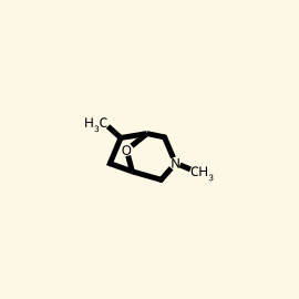 CC1CC2CN(C)CC1O2